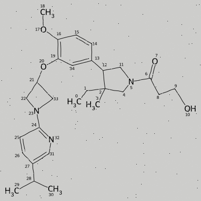 CCC1(C)CN(C(=O)CCO)CC1c1ccc(OC)c(OC2CN(c3ccc(C(C)C)cn3)C2)c1